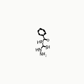 NNC(S)NC(=O)c1ccccc1